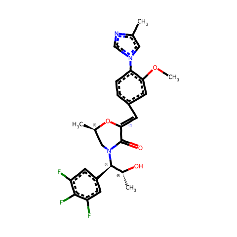 COc1cc(/C=C2\O[C@H](C)CN([C@H](c3cc(F)c(F)c(F)c3)[C@@H](C)O)C2=O)ccc1-n1cnc(C)c1